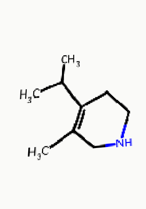 CC1=C(C(C)C)CCNC1